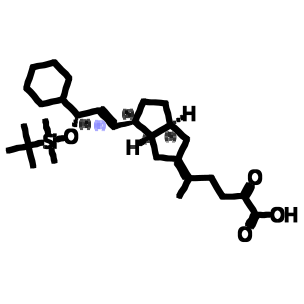 CC(CCC(=O)C(=O)O)=C1C[C@@H]2CC[C@H](/C=C/[C@H](O[Si](C)(C)C(C)(C)C)C3CCCCC3)[C@H]2C1